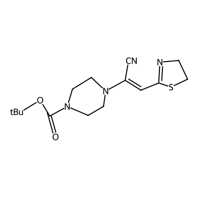 CC(C)(C)OC(=O)N1CCN(/C(C#N)=C/C2=NCCS2)CC1